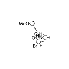 COc1cccc(C#CCONC(=O)c2cc(Br)c(F)c(F)c2Nc2ccc(I)cc2C)c1